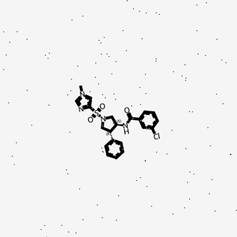 Cn1cnc(S(=O)(=O)N2C[C@@H](NC(=O)c3cccc(Cl)c3)[C@H](c3ccccc3)C2)c1